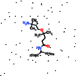 CCCCCCCC(CCCCCC)NC(=O)CCC(C)(C)OCCC(C)(C)N